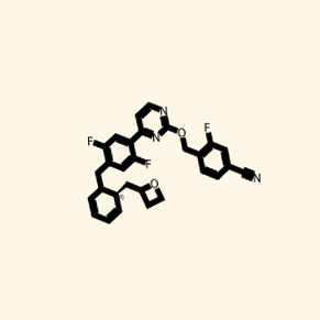 N#Cc1ccc(COc2nccc(-c3cc(F)c(CC4C=CC=C[C@@H]4CC4CCO4)cc3F)n2)c(F)c1